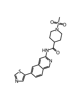 CS(=O)(=O)N1CCC(C(=O)Nc2cc3cc(-c4cncs4)ccc3cn2)CC1